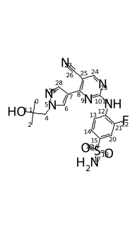 CC(C)(O)Cn1cc(-c2nc(Nc3ccc(S(N)(=O)=O)cc3F)ncc2C#N)cn1